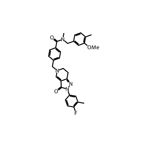 COc1cc(CN(C)C(=O)c2ccc(CN3C=C4C(=O)N(c5ccc(F)c(C)c5)N=C4CC3)cc2)ccc1C